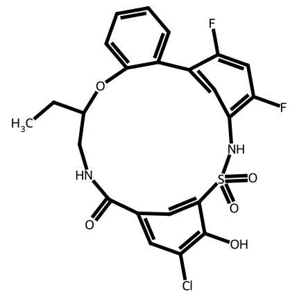 CCC1CNC(=O)c2cc(Cl)c(O)c(c2)S(=O)(=O)Nc2cc(c(F)cc2F)-c2ccccc2O1